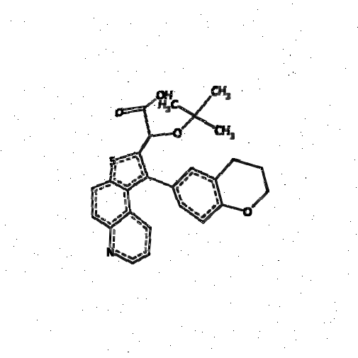 CC(C)(C)OC(C(=O)O)c1sc2ccc3ncccc3c2c1-c1ccc2c(c1)CCCO2